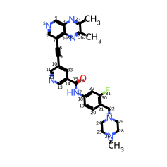 Cc1nc2cncc(C#Cc3cncc(C(=O)Nc4ccc(CN5CCN(C)CC5)c(F)c4)c3)c2nc1C